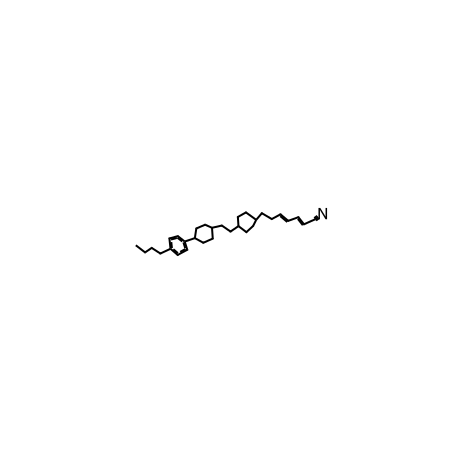 CCCCc1ccc(C2CCC(CCC3CCC(CCC=CC=CC#N)CC3)CC2)cc1